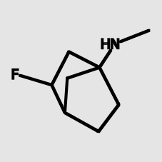 CNC12CCC(C1)C(F)C2